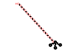 OCCOCCOCCOCCOCCOCCOCCOCCOCCOCCOCCOCCOCCOCCOCCOCCOc1ccc(C=Cc2ccccc2)c(C=Cc2ccccc2)c1C=Cc1ccccc1